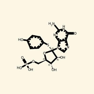 Nc1nc2c(ncn2[C@]2(Sc3ccc(O)cc3)O[C@H](COP(=O)(O)O)[C@@H](O)[C@H]2O)c(=O)[nH]1